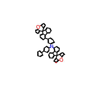 c1ccc(-c2ccc(N(c3cccc(-c4cccc5c4-c4ccccc4C54c5ccccc5Oc5ccccc54)c3)c3cccc4c3-c3ccccc3C43c4ccccc4Oc4ccccc43)cc2)cc1